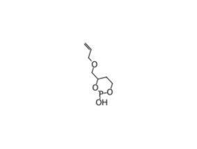 C=CCOCC1CCOP(O)O1